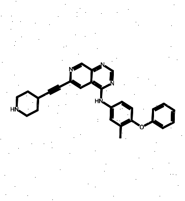 Cc1cc(Nc2ncnc3cnc(C#CC4CCNCC4)cc23)ccc1Oc1ccccc1